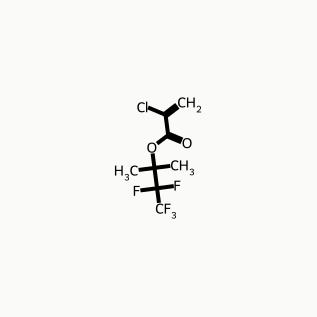 C=C(Cl)C(=O)OC(C)(C)C(F)(F)C(F)(F)F